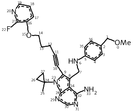 COCc1ccc(NCc2c(C#CCCCOc3cccnc3F)n(C3(C)CC3)c3ncnc(N)c23)cc1